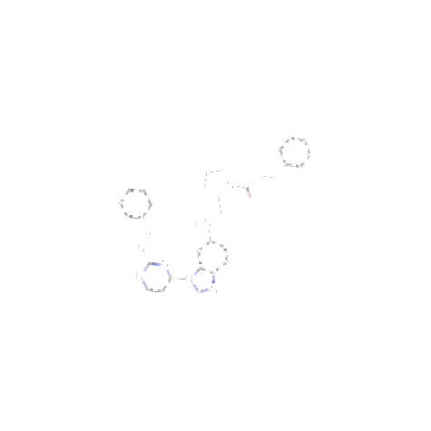 C[C@H](Nc1nccc(-n2cnc3ccc(NCC4CCCN4C(=O)OCc4ccccc4)cc32)n1)c1ccccc1